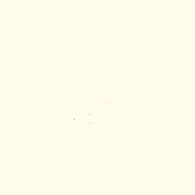 Cc1nn(Cc2ccc(F)cc2)c2c1CCN(C(=O)C[C@H]1CC[C@@H](C(=O)O)CC1)C2